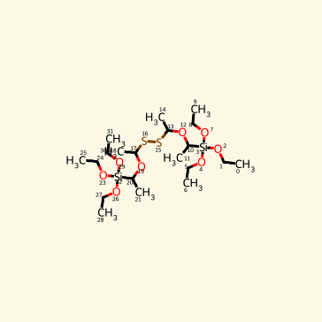 CCO[Si](OCC)(OCC)C(C)OC(C)SSC(C)OC(C)[Si](OCC)(OCC)OCC